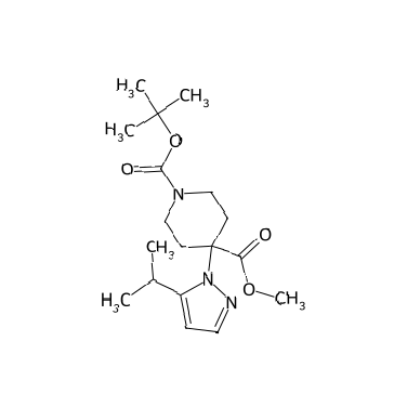 COC(=O)C1(n2nccc2C(C)C)CCN(C(=O)OC(C)(C)C)CC1